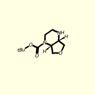 CC(C)(C)OC(=O)N1CCN[C@@H]2COC[C@@H]21